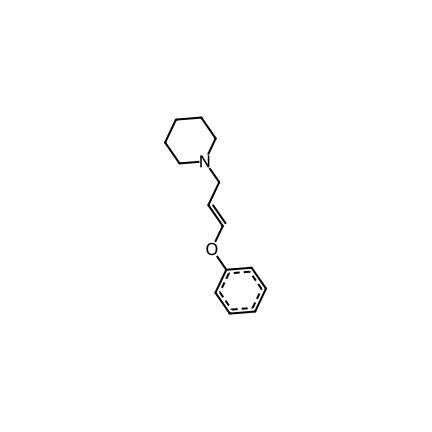 C(=COc1ccccc1)CN1CCCCC1